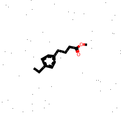 CCc1ccc(CCCC(=O)OC)cc1